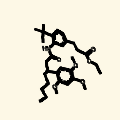 CCCCCC(CC(=O)Nc1cc(CCC(=O)OCC)ccc1C(C)(C)C)c1cc(OC)c(OC)cc1OC